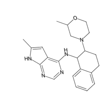 Cc1cc2c(NC3c4ccccc4CCC3N3CCOC(C)C3)ncnc2[nH]1